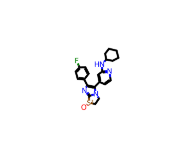 [O-][S+]1CCn2c1nc(-c1ccc(F)cc1)c2-c1ccnc(NC2CCCCC2)c1